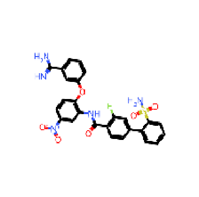 N=C(N)c1cccc(Oc2ccc([N+](=O)[O-])cc2NC(=O)c2ccc(-c3ccccc3S(N)(=O)=O)cc2F)c1